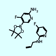 C=CCNc1cc(F)ccn1.CC1(C)OB(c2cnc(N)cc2F)OC1(C)C